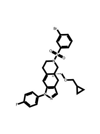 O=S(=O)(c1cccc(Br)c1)N1CCC2=Cc3c(cnn3-c3ccc(F)cc3)C[C@]2(COCC2CC2)C1